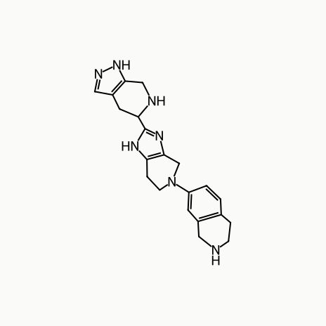 c1cc2c(cc1N1CCc3[nH]c(C4Cc5cn[nH]c5CN4)nc3C1)CNCC2